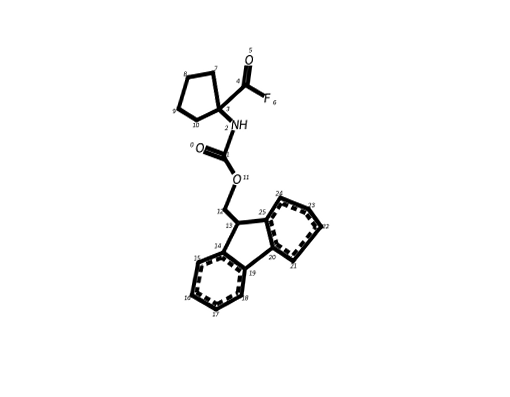 O=C(NC1(C(=O)F)CCCC1)OCC1c2ccccc2-c2ccccc21